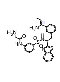 C/C=C(\N)c1cccc(CC(NS(=O)(=O)c2cccc(NC(=O)CN)c2)c2nc3ccccc3s2)c1